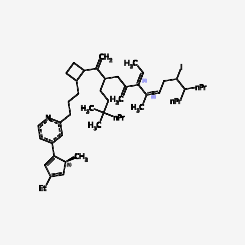 C=C(CC(CCC(C)(C)CCC)C(=C)C1CCC1CCCc1cc(C2=CC(CC)=C[C@@H]2C)ccn1)C(=C\C)/C(C)=C\CC(I)C(CCC)CCC